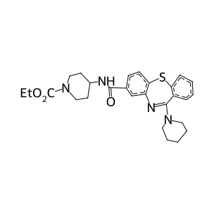 CCOC(=O)N1CCC(NC(=O)c2ccc3c(c2)N=C(N2CCCCC2)c2ccccc2S3)CC1